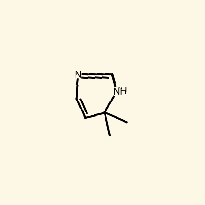 CC1(C)C=CN=CN1